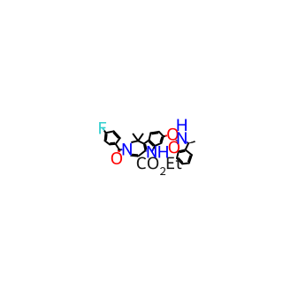 CCOC(=O)C1=CN(C(=O)c2ccc(F)cc2)CC(C)(C)c2c1[nH]c1cc(OC(=O)N[C@@H](C)c3ccccc3)ccc21